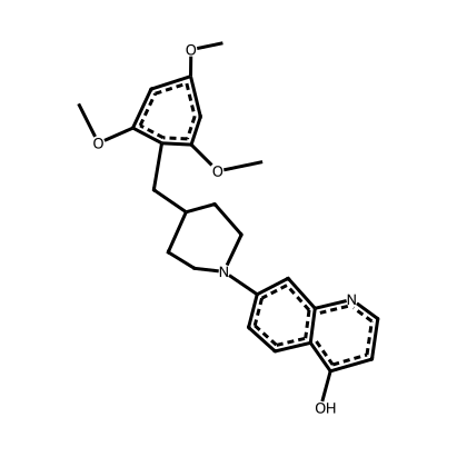 COc1cc(OC)c(CC2CCN(c3ccc4c(O)ccnc4c3)CC2)c(OC)c1